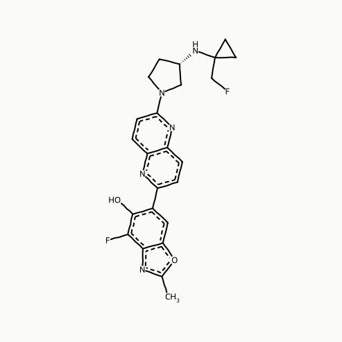 Cc1nc2c(F)c(O)c(-c3ccc4nc(N5CC[C@H](NC6(CF)CC6)C5)ccc4n3)cc2o1